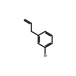 C=CCc1[c]ccc(Br)c1